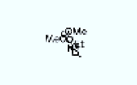 CCn1c(-c2ccc(C(=O)OC)c(OC)c2)nc2ccc(C)cc21